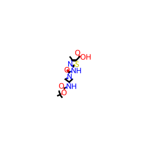 Cc1nc(NC(=O)N2CC(NC(=O)OC(C)(C)C)C2)sc1C(=O)O